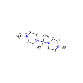 CCN1CCN(C(C)(C)N2CCN(C)CC2)CC1